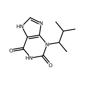 CC(C)C(C)n1c(=O)[nH]c(=O)c2[nH]cnc21